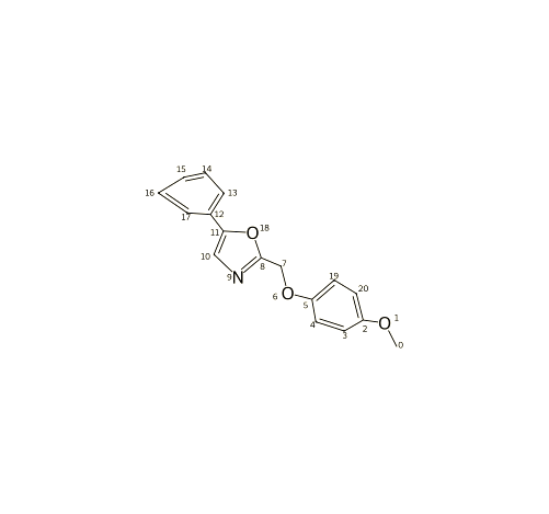 COc1ccc(OCc2ncc(-c3ccccc3)o2)cc1